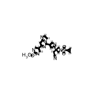 COc1ncc(-c2cc3nccn3c(-c3cnn(C4(CC#N)CN(S(=O)(=O)C5CC5)C4)c3)n2)cn1